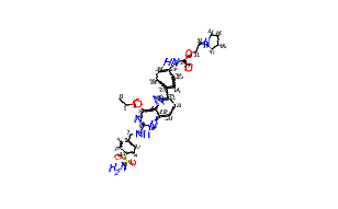 CCOc1nc(NCc2ccc(S(N)(=O)=O)cc2)nc2ccc(-c3ccc(NC(=O)OCCN4CCCC4)cc3)nc12